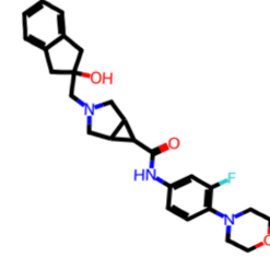 O=C(Nc1ccc(N2CCOCC2)c(F)c1)C1C2CN(CC3(O)Cc4ccccc4C3)CC21